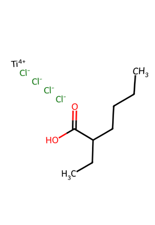 CCCCC(CC)C(=O)O.[Cl-].[Cl-].[Cl-].[Cl-].[Ti+4]